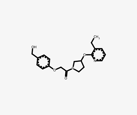 CCc1cccnc1OC1CCN(C(=O)COc2ccc(CO)cc2)C1